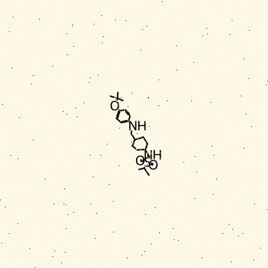 CC(C)S(=O)(=O)NC1CCC(CNc2ccc(OC(C)(C)C)cc2)CC1